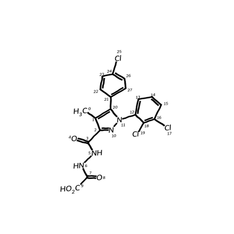 Cc1c(C(=O)NNC(=O)C(=O)O)nn(-c2cccc(Cl)c2Cl)c1-c1ccc(Cl)cc1